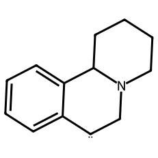 [C]1CN2CCCCC2c2ccccc21